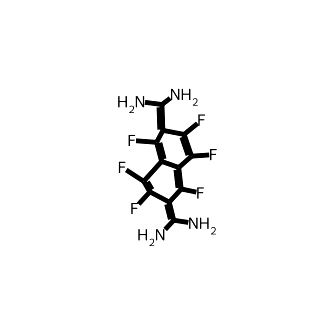 NC(N)=c1c(F)c(F)c2c(F)c(=C(N)N)c(F)c(F)c2c1F